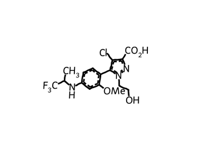 COc1cc(NC(C)C(F)(F)F)ccc1-c1c(Cl)c(C(=O)O)nn1CCO